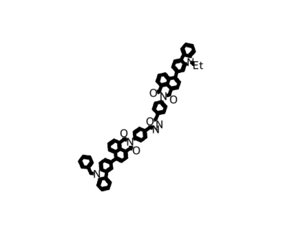 CCn1c2ccccc2c2ccc(-c3ccc4c5c(cccc35)C(=O)N(c3ccc(-c5nnc(-c6ccc(N7C(=O)c8cccc9c(-c%10ccc%11c(c%10)c%10ccccc%10n%11Cc%10ccccc%10)ccc(c89)C7=O)cc6)o5)cc3)C4=O)cc21